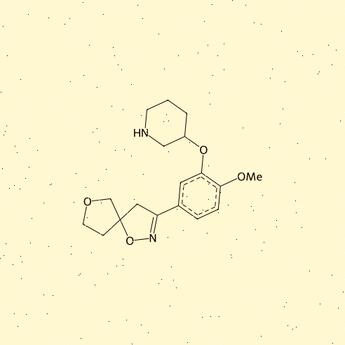 COc1ccc(C2=NOC3(CCOC3)C2)cc1OC1CCCNC1